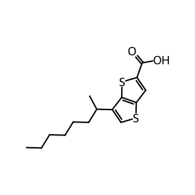 CCCCCCC(C)c1csc2cc(C(=O)O)sc12